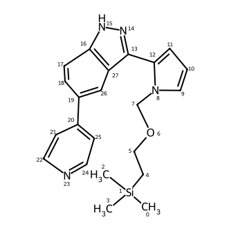 C[Si](C)(C)CCOCn1cccc1-c1n[nH]c2ccc(-c3ccncc3)cc12